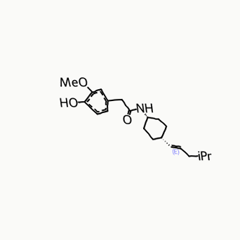 COc1cc(CC(=O)N[C@H]2CC[C@@H](/C=C/CC(C)C)CC2)ccc1O